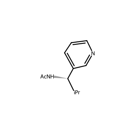 CC(=O)N[C@H](c1cccnc1)C(C)C